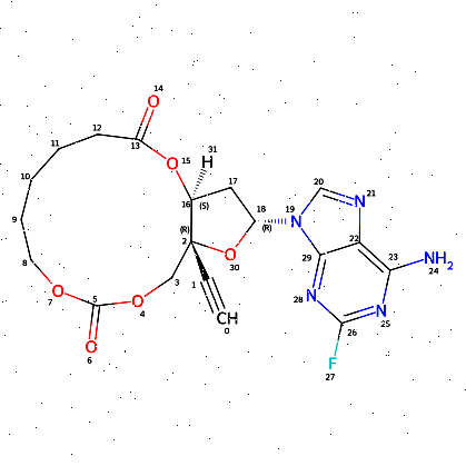 C#C[C@@]12COC(=O)OCCCCCC(=O)O[C@H]1C[C@H](n1cnc3c(N)nc(F)nc31)O2